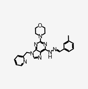 Cc1cccc(/C=N/Nc2nc(N3CCOCC3)nc3c2ncn3Cc2ccccn2)c1